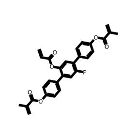 C=CC(=O)Oc1cc(-c2ccc(OC(=O)C(=C)C)cc2)c(F)cc1-c1ccc(OC(=O)C(=C)C)cc1